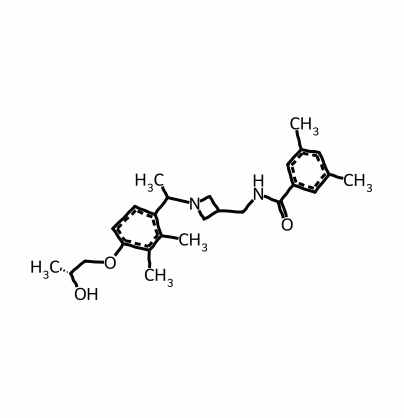 Cc1cc(C)cc(C(=O)NCC2CN(C(C)c3ccc(OC[C@@H](C)O)c(C)c3C)C2)c1